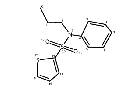 CCCN(c1ccccc1)S(=O)(=O)c1cccs1